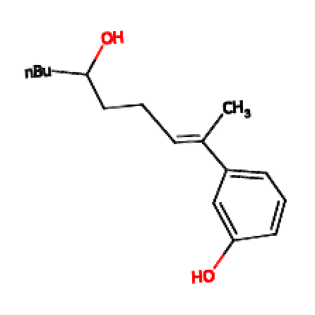 CCCCC(O)CCC=C(C)c1cccc(O)c1